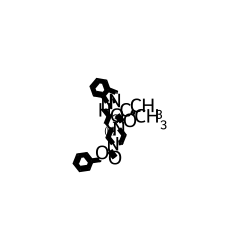 CC(C)(C)OC(=O)N1CCN(C(=O)OCc2ccccc2)C[C@H]1CCCn1ncc2ccccc21